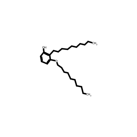 CCCCCCCCCCOc1cccc(O)c1CCCCCCCCCC